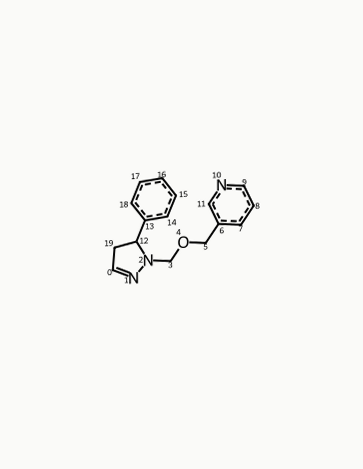 C1=NN(COCc2cccnc2)C(c2ccccc2)C1